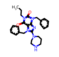 CCCn1c(=O)c2c(nc(N3CCCNCC3)n2Cc2ccccc2)n(Cc2ccccc2)c1=O